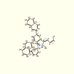 C/C=C\C=C1\c2cc(-c3ccc4ccccc4c3)cc(-c3ccc4ccccc4c3)c2N(c2ccccc2)C1C